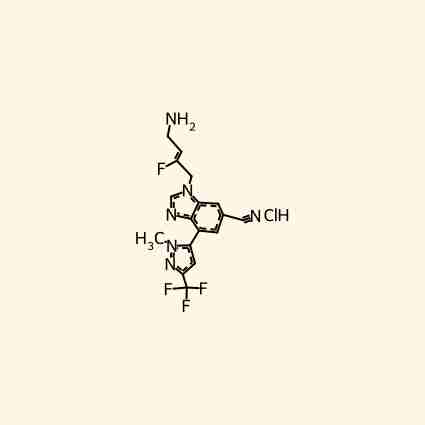 Cl.Cn1nc(C(F)(F)F)cc1-c1cc(C#N)cc2c1ncn2CC(F)=CCN